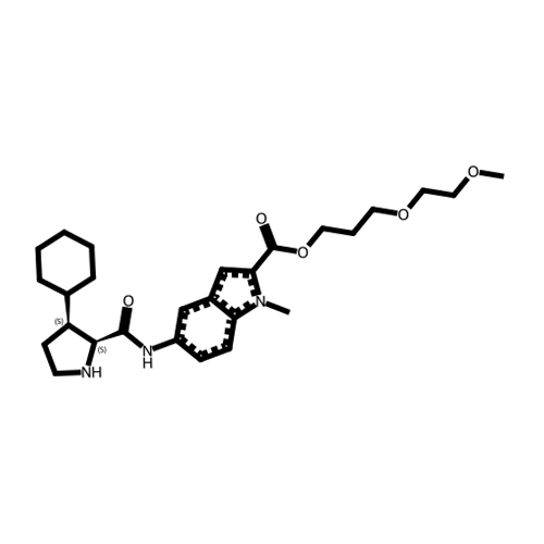 COCCOCCCOC(=O)c1cc2cc(NC(=O)[C@H]3NCC[C@H]3C3CCCCC3)ccc2n1C